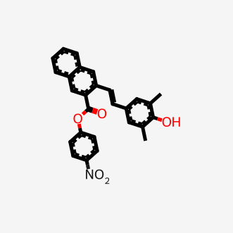 Cc1cc(/C=C/c2cc3ccccc3cc2C(=O)Oc2ccc([N+](=O)[O-])cc2)cc(C)c1O